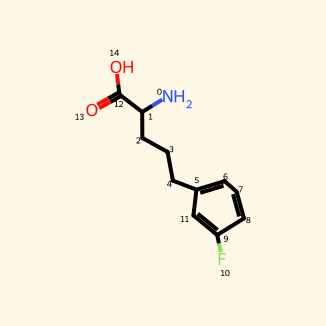 NC(CCCc1cccc(F)c1)C(=O)O